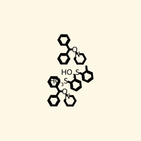 Cc1ccccc1S(=O)(=O)O.Cc1ccccc1S(=O)(=O)O.c1ccc(C(ON2CCCCC2)c2ccccc2)cc1.c1ccc(C(ON2CCCCC2)c2ccccc2)cc1